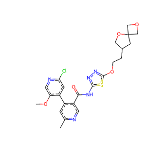 COc1cnc(Cl)cc1-c1cc(C)ncc1C(=O)Nc1nnc(OCCC2COC3(COC3)C2)s1